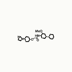 COc1cc(-c2ccccc2)ccc1NC(=O)COc1ccc(-n2ccnc2)cc1